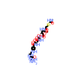 CNC(=O)CSSCCC(=O)NC1[C@H](OC)OC(C(=O)NC[C@H](NC(=O)C[C@H](NC(=O)c2ccc(NCc3cnc4nc(N)[nH]c(=O)c4n3)cc2)C(=O)O)C(=O)O)[C@@H](C)[C@@H]1C